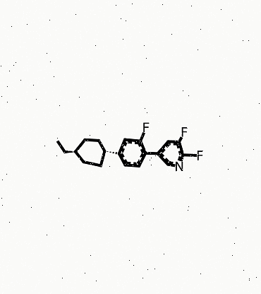 CC[C@H]1CC[C@H](c2ccc(-c3cnc(F)c(F)c3)c(F)c2)CC1